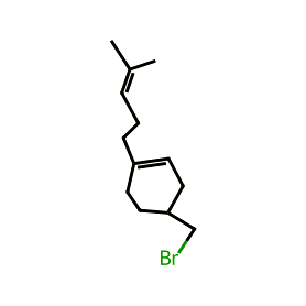 CC(C)=CCCC1=CCC(CBr)CC1